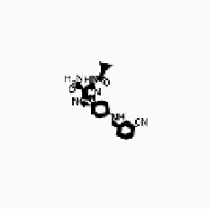 N#CC[C@]1(n2cc(C(N)=O)c(NC(=O)C3CC3)n2)CC[C@@H](NCc2cccc(C#N)c2)CC1